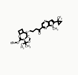 Cn1c(C2(C(F)(F)F)CC2)cc2ncc(C(=O)CCC[C@@H](C3CCC3)[C@@H]3COC(C)(C)N3C(=O)OC(C)(C)C)nc21